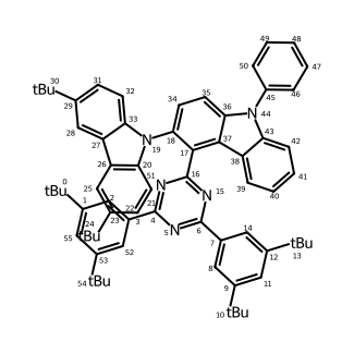 CC(C)(C)c1cc(-c2nc(-c3cc(C(C)(C)C)cc(C(C)(C)C)c3)nc(-c3c(-n4c5ccc(C(C)(C)C)cc5c5cc(C(C)(C)C)ccc54)ccc4c3c3ccccc3n4-c3ccccc3)n2)cc(C(C)(C)C)c1